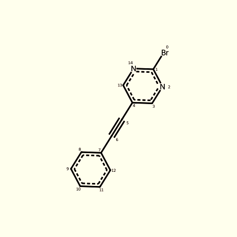 Brc1ncc(C#Cc2ccccc2)cn1